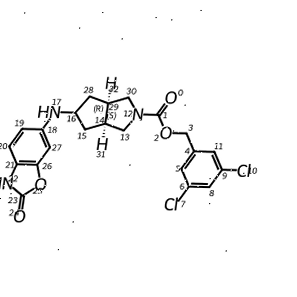 O=C(OCc1cc(Cl)cc(Cl)c1)N1C[C@H]2CC(Nc3ccc4[nH]c(=O)oc4c3)C[C@H]2C1